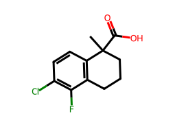 CC1(C(=O)O)CCCc2c1ccc(Cl)c2F